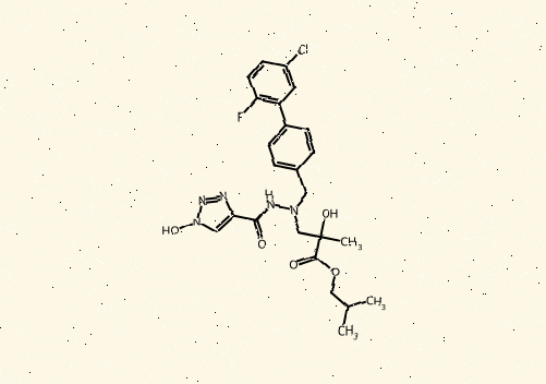 CC(C)COC(=O)C(C)(O)CN(Cc1ccc(-c2cc(Cl)ccc2F)cc1)NC(=O)c1cn(O)nn1